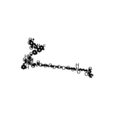 CC[C@H]1C(=O)OCc2c1cc1n(c2=O)Cc2c-1nc1cc(F)c(C)c3c1c2[C@@H](N1CCC(OCNC(=O)CNC(=O)[C@H](Cc2ccccc2)NC(=O)CNC(=O)CNC(=O)COCCOCCOCCOCCOCCOCCOCCOCCNC(=O)CCCCCN2C(=O)CC(C(C)(CC)CC)C2=O)CC1)CC3